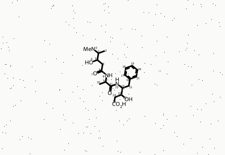 CNC(C)C(O)CC(=O)NC(C)C(=O)NC(Cc1ccccc1)C(O)CC(=O)O